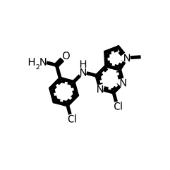 Cn1ccc2c(Nc3cc(Cl)ccc3C(N)=O)nc(Cl)nc21